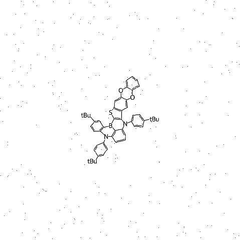 CC(C)(C)c1ccc(N2c3ccc(C(C)(C)C)cc3B3c4sc5cc6c(cc5c4N(c4ccc(C(C)(C)C)cc4)c4cccc2c43)Oc2ccccc2O6)cc1